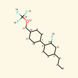 CCCC1CCC(C2CCC(COC(F)(F)F)CC2)C(F)C1